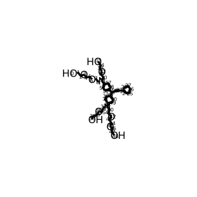 OCCOCCOCCN(CCOCCO)c1ccc(C(C#Cc2ccccc2)c2ccc(N(CCOCCO)CCOCCOCCO)cc2)cc1